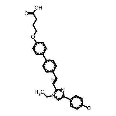 CCn1cc(-c2ccc(Cl)cc2)nc1/C=C/c1ccc(-c2ccc(OCCCC(=O)O)cc2)cc1